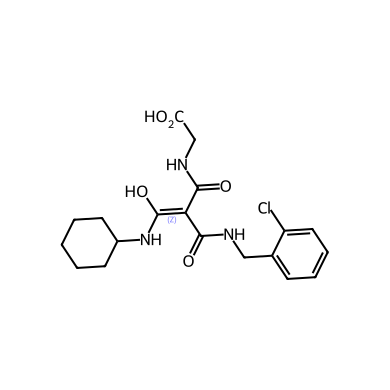 O=C(O)CNC(=O)/C(C(=O)NCc1ccccc1Cl)=C(\O)NC1CCCCC1